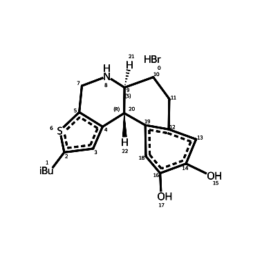 Br.CCC(C)c1cc2c(s1)CN[C@H]1CCc3cc(O)c(O)cc3[C@H]21